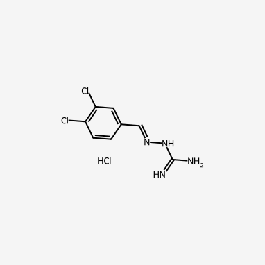 Cl.N=C(N)NN=Cc1ccc(Cl)c(Cl)c1